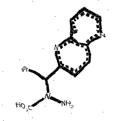 C[C](C)C(c1ccc2ncccc2n1)N(N)C(=O)O